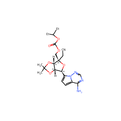 CCC(CC)OC(=O)OC[C@@]1(CC#N)O[C@@H](c2ccc3c(N)ncnn23)[C@@H]2OC(C)(C)O[C@@H]21